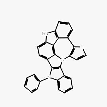 c1ccc(-n2c3ccccc3c3c2c2ccc4[nH]c5cccc6c7occc7n3c2c4c56)cc1